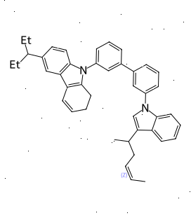 C/C=C\CC(C)c1cn(-c2cccc(-c3cccc(-n4c5c(c6cc(C(CC)CC)ccc64)C=CCC5)c3)c2)c2ccccc12